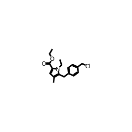 CCOC(=O)c1cc(C)c(Cc2ccc(CCl)cc2)n1CC